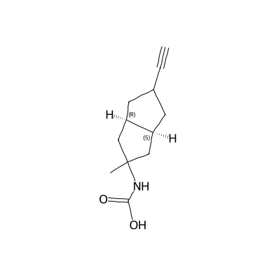 C#CC1C[C@@H]2CC(C)(NC(=O)O)C[C@@H]2C1